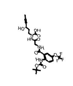 CC#C[C@@H](O)CCN(NC(=O)CNC(=O)c1cc(OC(F)(F)F)ccc1NC(=O)OC(C)(C)C)C(=O)O